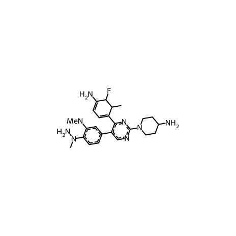 CNc1cc(-c2cnc(N3CCC(N)CC3)nc2C2=CC=C(N)C(F)C2C)ccc1N(C)N